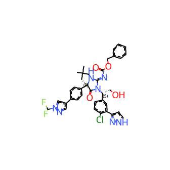 CC(C)(C)C[C@]1(c2ccc(-c3cnn(C(F)F)c3)cc2)NC(=NC(=O)OCc2ccccc2)N([C@H](CO)c2ccc(Cl)c(-c3cc[nH]n3)c2)C1=O